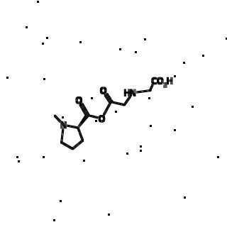 CN1CCC[C@@H]1C(=O)OC(=O)CNCC(=O)O